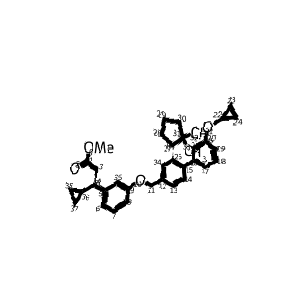 COC(=O)C[C@@H](c1cccc(OCc2ccc(-c3cccc(OC4CC4)c3)c([C@@H]3CCCC3(C)C)c2)c1)C1CC1